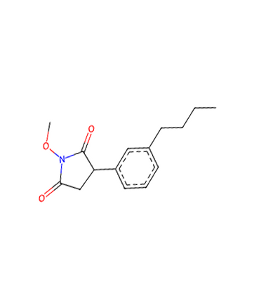 CCCCc1cccc(C2CC(=O)N(OC)C2=O)c1